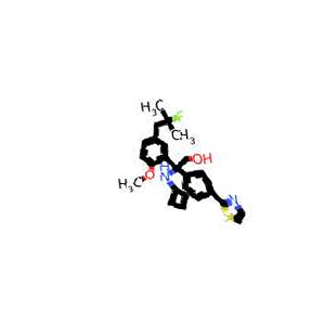 COc1ccc(CC(C)(C)F)cc1C(CO)(NC1CCC1)c1ccc(-c2nccs2)cc1